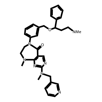 CNCCC(OCc1cccc(N2CCN(C)c3nc(N(C)Cc4cccnc4)ncc3C2=O)c1)c1ccccc1